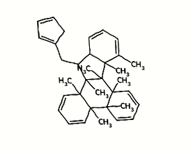 CC1=CC=CC2C(CC3=CC=CC3)C3(C)C4(C)C=CC=CC4(C)C4(C)C=CC=CC4(C)C3(C)C12C